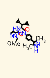 COCCn1nccc1C(=O)N[C@H](C(=O)Nc1ccc(-c2c(C)n[nH]c2C)cc1)C(C1CC1)C1CC1